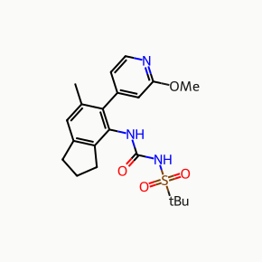 COc1cc(-c2c(C)cc3c(c2NC(=O)NS(=O)(=O)C(C)(C)C)CCC3)ccn1